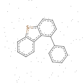 [c]1cccc(-c2cccc3sc4ccccc4c23)c1